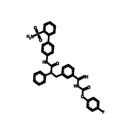 N=C(NC(=O)Oc1ccc(F)cc1)c1cccc(CN(C(=O)Nc2ccc(-c3ccccc3S(N)(=O)=O)cc2)c2ccccc2)c1